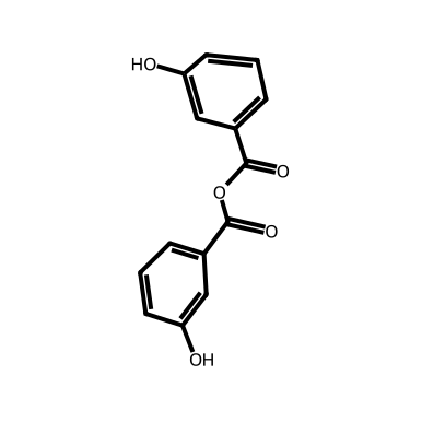 O=C(OC(=O)c1cccc(O)c1)c1cccc(O)c1